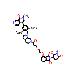 COc1cc(-c2cn(C)c(=O)c3cnccc23)cc(OC)c1CN1CCC2CCN(C(=O)CCOCCOc3cccc4c3C(=O)N(C3CCC(=O)NC3=O)C4=O)CC21